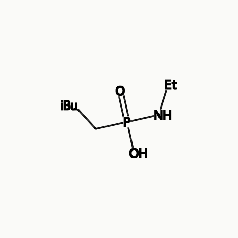 CCNP(=O)(O)CC(C)CC